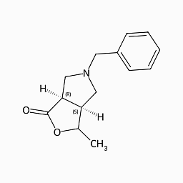 CC1OC(=O)[C@H]2CN(Cc3ccccc3)C[C@@H]12